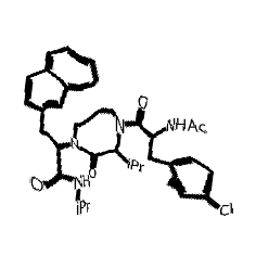 CC(=O)NC(Cc1ccc(Cl)cc1)C(=O)N1CCN(C(Cc2ccc3ccccc3c2)C(=O)NC(C)C)C(=O)C1C(C)C